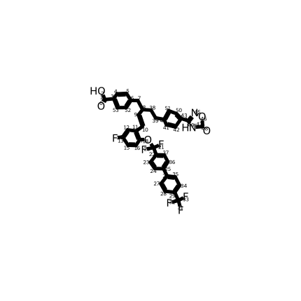 O=C(O)c1ccc(CC(C=Cc2cc(F)ccc2OC(F)(F)c2ccc(-c3ccc(C(F)(F)F)cc3)cc2)CCc2ccc(-c3noc(=O)[nH]3)cc2)cc1